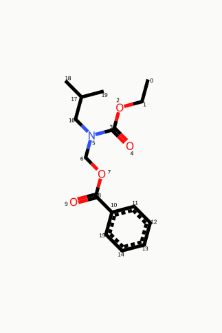 CCOC(=O)N(COC(=O)c1ccccc1)CC(C)C